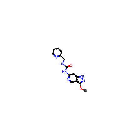 CCOc1n[nH]c2cc(NC(=O)NCc3ccccn3)ncc12